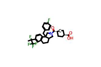 CC(F)(c1ccc2c(c1)CCC1CN(C(=O)[C@H]3CC[C@H](C(=O)O)CC3)CC21Cc1ccc(F)cc1)C(F)(F)F